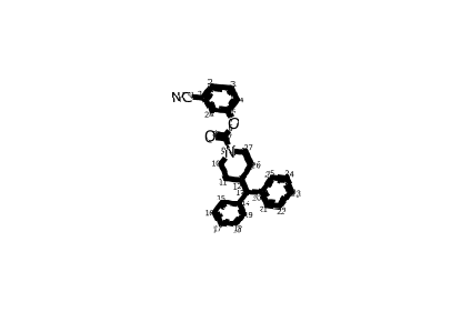 N#Cc1cccc(OC(=O)N2CCC(C(c3ccccc3)c3ccccc3)CC2)c1